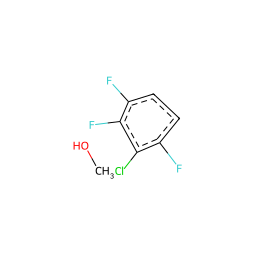 CO.Fc1ccc(F)c(Cl)c1F